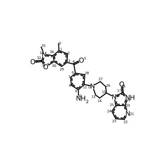 Cc1cc(C(=O)c2ccc(N)c(N3CCC(n4c(=O)[nH]c5ncccc54)CC3)c2)cc2oc(=O)n(C)c12